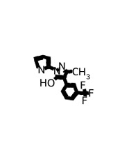 Cc1nn(-c2ccccn2)c(O)c1-c1cccc(C(F)(F)F)c1